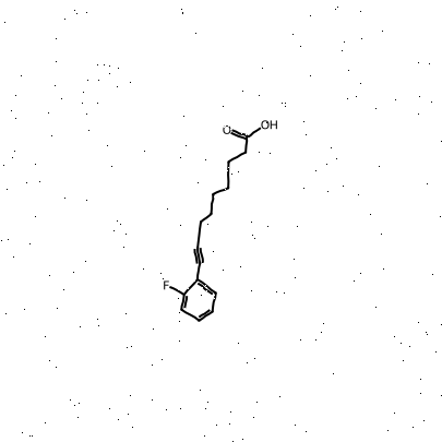 O=C(O)CCCCCCC#Cc1ccccc1F